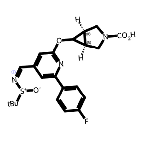 CC(C)(C)[S+]([O-])/N=C\c1cc(OC2[C@H]3CN(C(=O)O)C[C@@H]23)nc(-c2ccc(F)cc2)c1